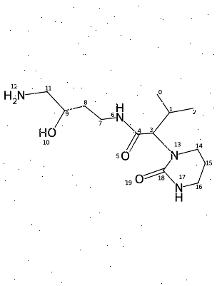 CC(C)C(C(=O)NCCC(O)CN)N1CCCNC1=O